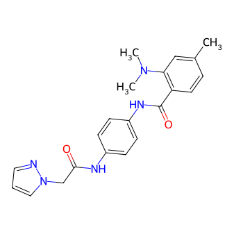 Cc1ccc(C(=O)Nc2ccc(NC(=O)Cn3cccn3)cc2)c(N(C)C)c1